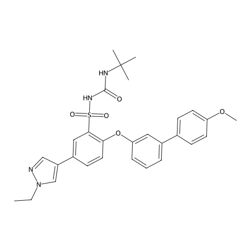 CCn1cc(-c2ccc(Oc3cccc(-c4ccc(OC)cc4)c3)c(S(=O)(=O)NC(=O)NC(C)(C)C)c2)cn1